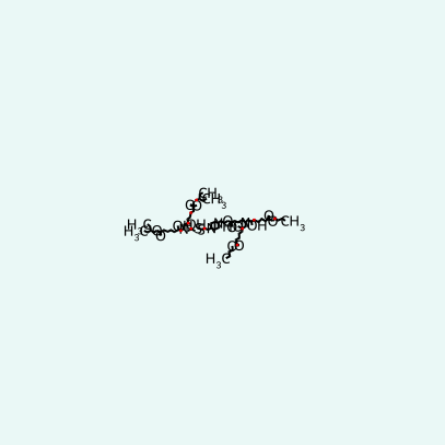 CCCCOC(=O)CCCCC(O)CN(CCCC(=O)OCCN1CCN(CCSSCCCN(CC(O)CCCCC(=O)OCC(CC)CC)CC(O)CCCCC(=O)OCC(CC)CC)CC1)CC(O)CCCCC(=O)OCCCC